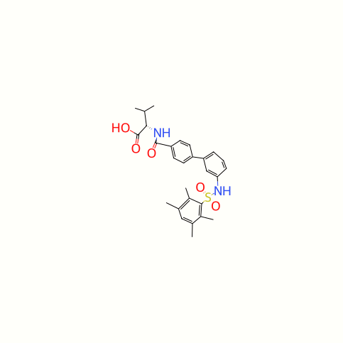 Cc1cc(C)c(C)c(S(=O)(=O)Nc2cccc(-c3ccc(C(=O)N[C@H](C(=O)O)C(C)C)cc3)c2)c1C